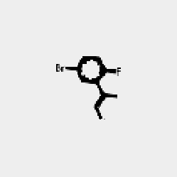 [CH2]/C=C(\C)c1cc(Br)ccc1F